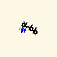 Cc1cc(-c2ccccc2C)ccc1/C=C/c1c(C)cccc1-n1nnn(C)c1=O